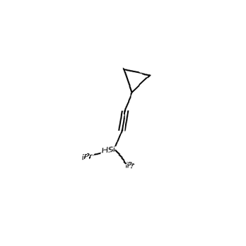 CC(C)[SiH](C#CC1CC1)C(C)C